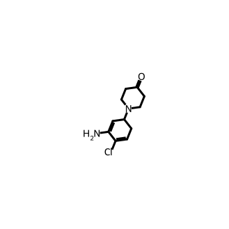 NC1=CC(N2CCC(=O)CC2)CC=C1Cl